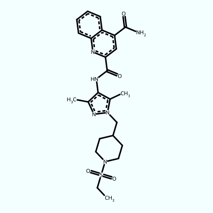 CCS(=O)(=O)N1CCC(Cn2nc(C)c(NC(=O)c3cc(C(N)=O)c4ccccc4n3)c2C)CC1